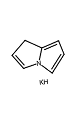 C1=Cn2cccc2C1.[KH]